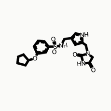 O=C1CN(Cc2cc(CNS(=O)(=O)c3cccc(OC4CCCC4)c3)c[nH]2)C(=O)N1